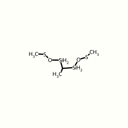 CSO[SiH2]C(C)[SiH2]OSC